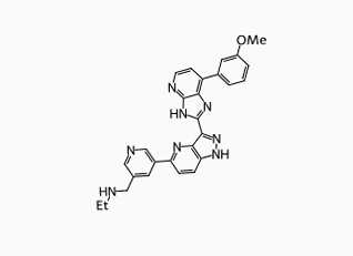 CCNCc1cncc(-c2ccc3[nH]nc(-c4nc5c(-c6cccc(OC)c6)ccnc5[nH]4)c3n2)c1